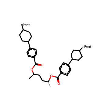 CCCCCC1CCC(c2ccc(C(=O)O[C@H](C)CC[C@@H](C)OC(=O)c3ccc(C4CCC(CCCCC)CC4)cc3)cc2)CC1